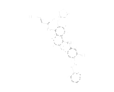 C/C=C/C(=O)Nc1c(OC2CCOC2)ccc2c(Nc3ccc(OCc4ccccn4)c(Cl)c3)c(C#N)cnc12